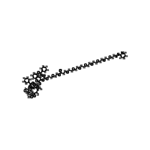 CC(=O)O[C@@]12COC1C[C@H](O)[C@@]1(C)C(=O)[C@H](C)C3=C(C)[C@@H](OC(=O)[C@H](OC(=O)OCCOCCOC(=O)CCOCCOCCOCCOCCOCCOCCOCCOCCSSc4ccccn4)[C@@H](NC(=O)c4ccccc4)c4ccccc4)C[C@@](O)([C@@H](OC(=O)c4ccccc4)[C@@H]12)C3(C)C